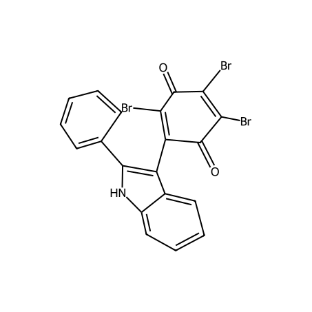 O=C1C(Br)=C(Br)C(=O)C(c2c(-c3ccccc3)[nH]c3ccccc23)=C1Br